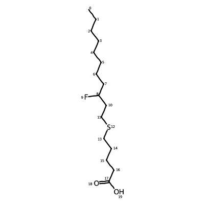 CCCCCCCCC(F)CCSCCCCC(=O)O